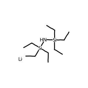 CC[Si](CC)(CC)N[Si](CC)(CC)CC.[Li]